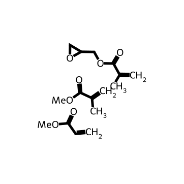 C=C(C)C(=O)OC.C=C(C)C(=O)OCC1CO1.C=CC(=O)OC